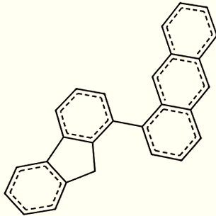 c1ccc2c(c1)Cc1c-2cccc1-c1cccc2cc3ccccc3cc12